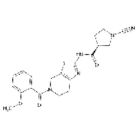 COc1ccccc1C(=O)N1CCc2nc(NC(=O)[C@H]3CCN(C#N)C3)sc2C1